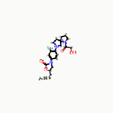 CC(=O)NCC1CN(c2ccc(N3CCC4(CCCN4C(=O)CO)C3)c(F)c2)C(=O)O1